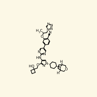 C[C@@H](Cn1cnnn1)Oc1cc(-c2cnc(Nc3cn([C@H]4CC[C@H](N5[C@@H]6CC[C@H]5COC6)CC4)nc3OCC3(O)CCC3)nc2)ccc1C#N